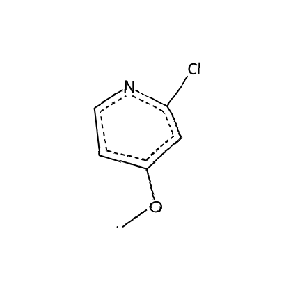 [CH2]Oc1ccnc(Cl)c1